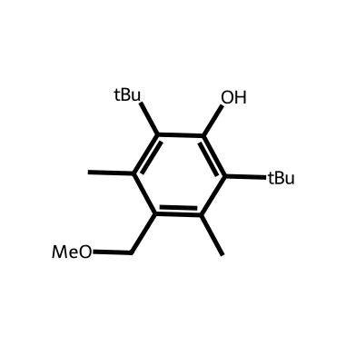 COCc1c(C)c(C(C)(C)C)c(O)c(C(C)(C)C)c1C